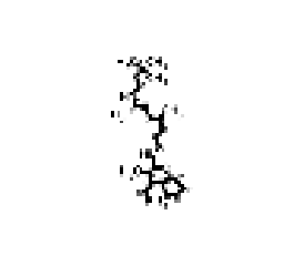 C=C(C(=O)NCCCC(C)C/C=C(\C)NCCC(C)(C)C)/C(=C/N)c1ccccc1